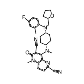 Cc1cc(F)ccc1N(CC1CCCO1)[C@H]1CC[C@@H](N(C)c2c(C#N)c(=O)n(C)c3ccc(C#N)nc23)CC1